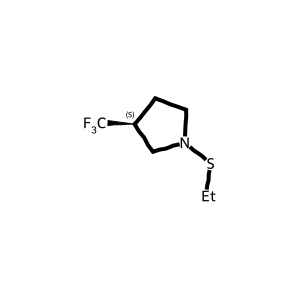 CCSN1CC[C@H](C(F)(F)F)C1